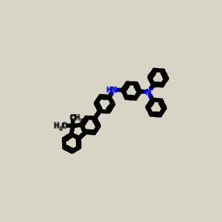 CC1(C)c2ccccc2-c2ccc(-c3ccc(Nc4ccc(N(c5ccccc5)c5ccccc5)cc4)cc3)cc21